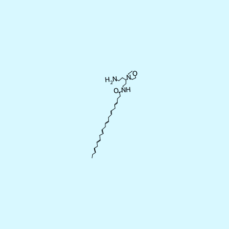 CCC=CCC=CCC=CCC=CCC=CCC=CCCC(=O)NCCC(CCN)N1CCOCC1